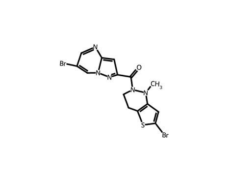 CN1c2cc(Br)sc2CCN1C(=O)c1cc2ncc(Br)cn2n1